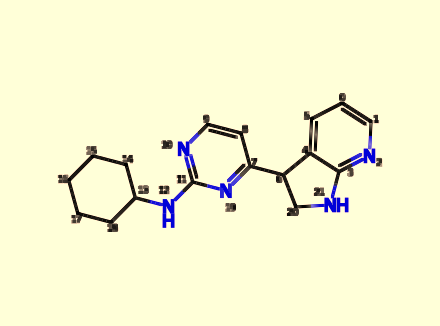 c1cnc2c(c1)C(c1ccnc(NC3CCCCC3)n1)CN2